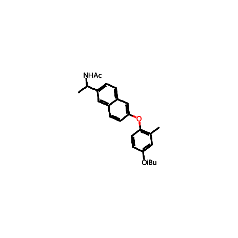 CC(=O)NC(C)c1ccc2cc(Oc3ccc(OCC(C)C)cc3C)ccc2c1